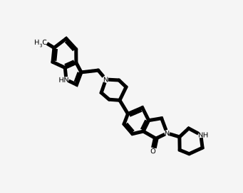 Cc1ccc2c(CN3CCC(c4ccc5c(c4)CN(C4CCCNC4)C5=O)CC3)c[nH]c2c1